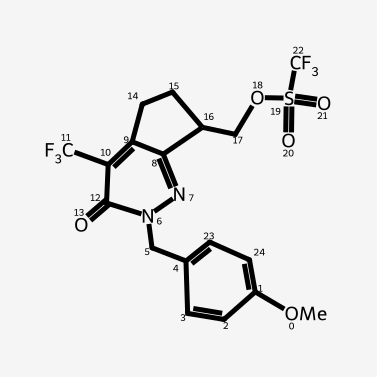 COc1ccc(Cn2nc3c(c(C(F)(F)F)c2=O)CCC3COS(=O)(=O)C(F)(F)F)cc1